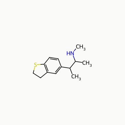 CNC(C)C(C)c1ccc2c(c1)CCS2